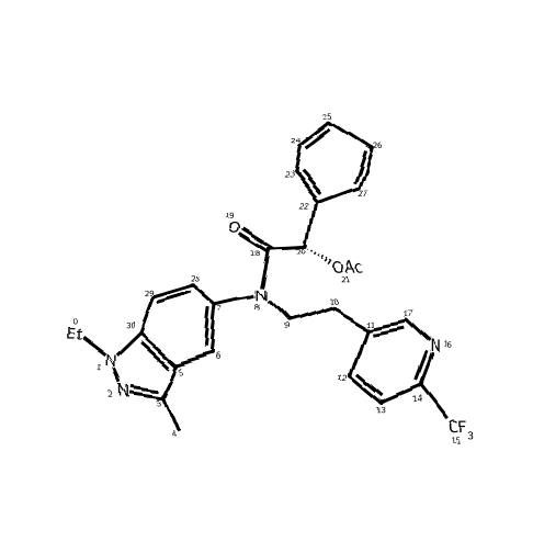 CCn1nc(C)c2cc(N(CCc3ccc(C(F)(F)F)nc3)C(=O)[C@@H](OC(C)=O)c3ccccc3)ccc21